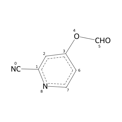 N#Cc1cc(OC=O)ccn1